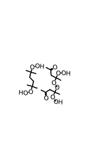 CC(=O)CC(C)(OO)OOC(C)(CC(C)=O)OO.CC(C)(CCC(C)(C)OO)OO